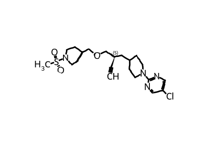 C#C[C@@H](COCC1CCN(S(C)(=O)=O)CC1)CC1CCN(c2ncc(Cl)cn2)CC1